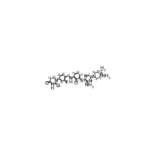 CC1(N)CCN(c2cnc(Sc3cccc(NCc4ccc(N5CCC(=O)NC5=O)cc4F)c3Cl)c(N)n2)CC1